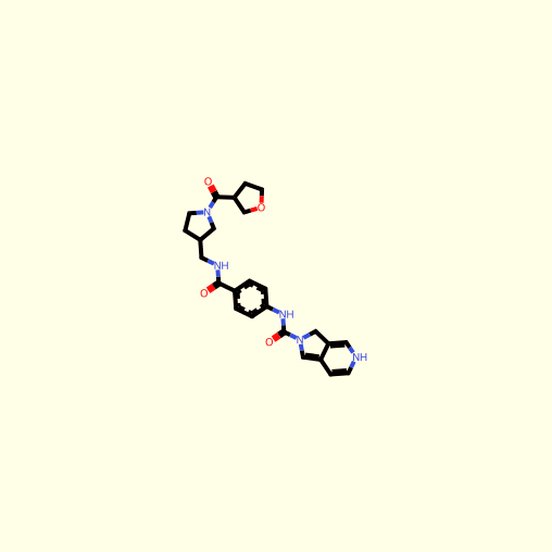 O=C(NCC1CCN(C(=O)C2CCOC2)C1)c1ccc(NC(=O)N2C=C3C=CNC=C3C2)cc1